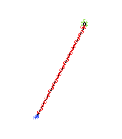 [N-]=[N+]=NCCOCCOCCOCCOCCOCCOCCOCCOCCOCCOCCOCCOCCOCCOCCOCCOCCOCCOCCOCCOCCOCCOCCOCCOCCC(=O)Oc1c(F)c(F)c(F)c(F)c1F